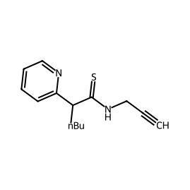 C#CCNC(=S)C(CCCC)c1ccccn1